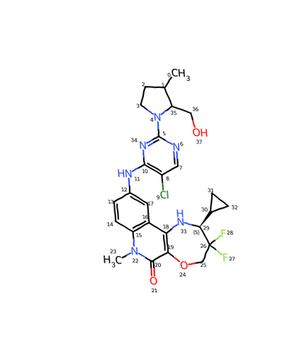 CC1CCN(c2ncc(Cl)c(Nc3ccc4c(c3)c3c(c(=O)n4C)OCC(F)(F)[C@H](C4CC4)N3)n2)C1CO